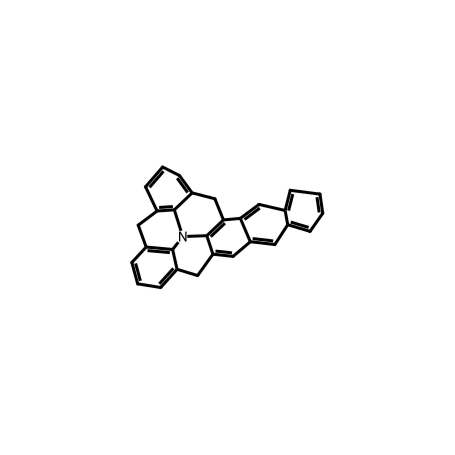 c1cc2c3c(c1)Cc1cc4cc5ccccc5cc4c4c1N3c1c(cccc1C4)C2